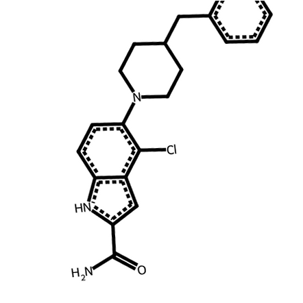 NC(=O)c1cc2c(Cl)c(N3CCC(Cc4ccccc4)CC3)ccc2[nH]1